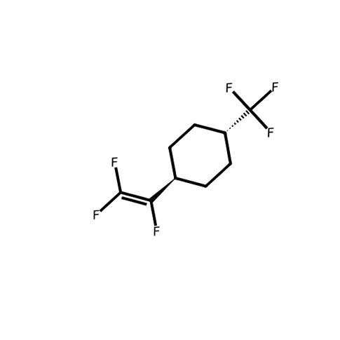 FC(F)=C(F)[C@H]1CC[C@H](C(F)(F)F)CC1